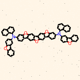 c1ccc2c(N(c3ccc4c(c3)oc3cc5c(cc34)oc3cc4c(cc35)oc3cc(N(c5ccc6oc7ccccc7c6c5)c5cccc6ccccc56)ccc34)c3ccc4oc5ccccc5c4c3)cccc2c1